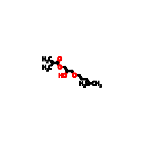 C=C(C)C(=O)OCC(O)COCCC[SiH2]C